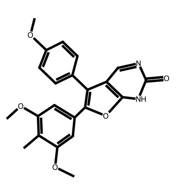 COc1ccc(-c2c(-c3cc(OC)c(C)c(OC)c3)oc3[nH]c(=O)ncc23)cc1